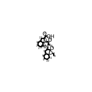 CCOC(=O)C(CC1CCCCC1)N[C@@H](C)C(=O)N1C(C(=O)O)CC2CCCCC21